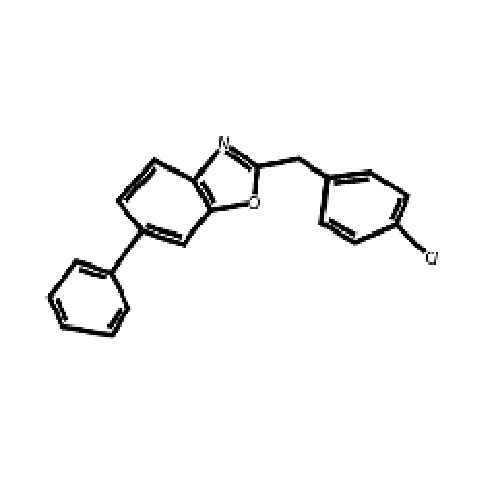 Clc1ccc(Cc2nc3ccc(-c4ccccc4)cc3o2)cc1